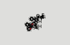 CC(C)NC(=O)N1Cc2cc(C(=O)NCC(F)(F)F)nc(-c3ccccc3)c2C1CCO[Si](c1ccccc1)(c1ccccc1)C(C)(C)C